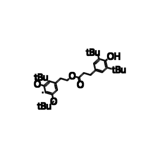 CC(C)(C)Oc1[c]c(OC(C)(C)C)cc(CCOC(=O)CCc2cc(C(C)(C)C)c(O)c(C(C)(C)C)c2)c1